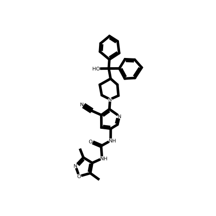 Cc1noc(C)c1NC(=O)Nc1cnc(N2CCC(C(O)(c3ccccc3)c3ccccc3)CC2)c(C#N)c1